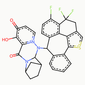 O=C1c2c(O)c(=O)ccn2N(C2c3ccccc3-c3scc4c3-c3c2ccc(F)c3C(F)(F)C4)C2C3CCC(C3)N12